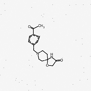 CC(=O)c1ccc(CN2CCC3(CC2)NC(=O)CO3)cc1